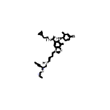 C=C(NCCC1CC1)c1cc2c(ncn2CCCCNC/C(C#CC)=N/C=C\C)c(F)c1Nc1ccc(Br)cc1C